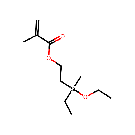 C=C(C)C(=O)OCC[Si](C)(CC)OCC